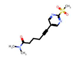 CN(C)C(=O)CCCC#Cc1cnc(S(C)(=O)=O)nc1